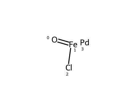 [O]=[Fe][Cl].[Pd]